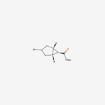 COC(=O)[C@H]1[C@@H]2CC(C(C)C)C[C@@H]21